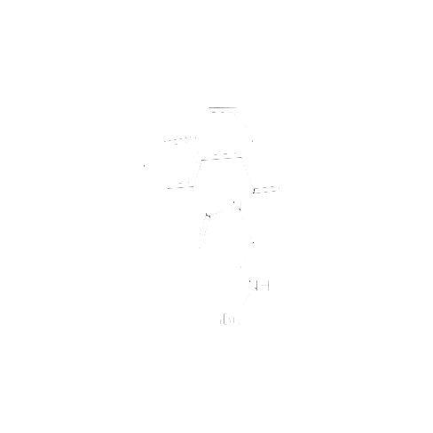 CCCCNCCN1C(=O)c2cccc3cccc(c23)C1=O